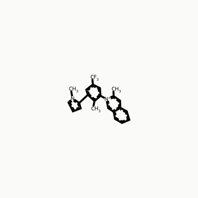 Cc1c(-c2cccn2C)cc(C(F)(F)F)cc1-[n+]1cc2ccccc2cc1C